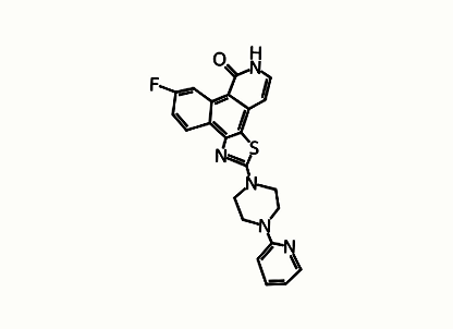 O=c1[nH]ccc2c3sc(N4CCN(c5ccccn5)CC4)nc3c3ccc(F)cc3c12